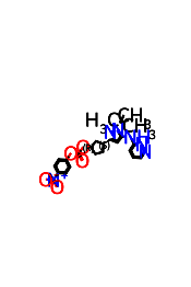 CC(C)(C)n1nc([C@H]2CC[C@@H](OC(=O)Oc3ccc([N+](=O)[O-])cc3)C2)cc1Nc1cccnn1